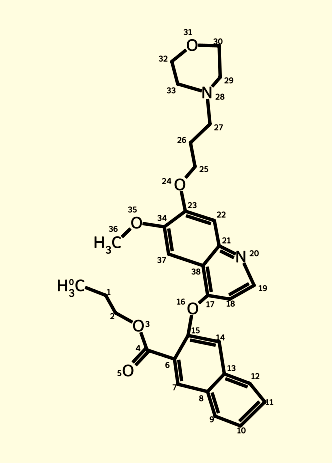 CCCOC(=O)c1cc2ccccc2cc1Oc1ccnc2cc(OCCCN3CCOCC3)c(OC)cc12